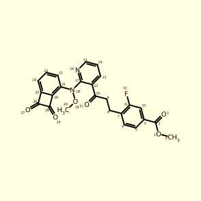 COC(=O)c1ccc(CCC(=O)c2cccnc2N(OC)c2cccc3c(=O)c(=O)c23)c(F)c1